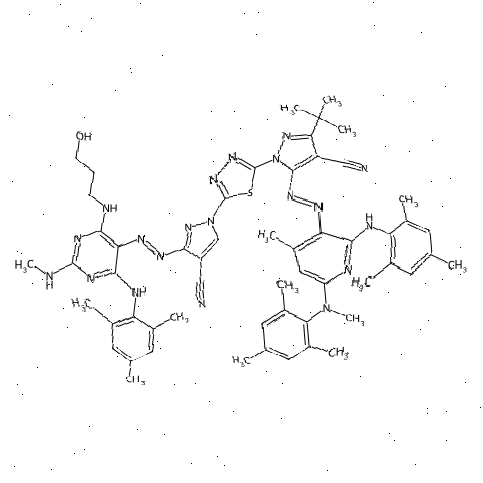 CNc1nc(NCCCO)c(N=Nc2nn(-c3nnc(-n4nc(C(C)(C)C)c(C#N)c4N=Nc4c(C)cc(N(C)c5c(C)cc(C)cc5C)nc4Nc4c(C)cc(C)cc4C)s3)cc2C#N)c(Nc2c(C)cc(C)cc2C)n1